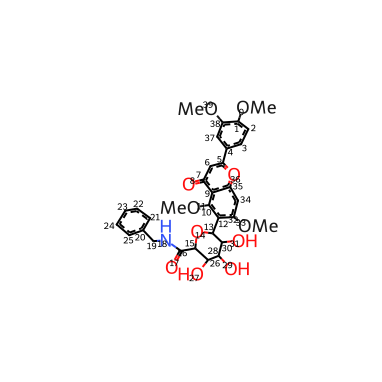 COc1ccc(-c2cc(=O)c3c(OC)c(C4OC(C(=O)NCc5ccccc5)C(O)C(O)C4O)c(OC)cc3o2)cc1OC